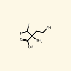 N[C@@](CCS)(C(=O)O)C(F)F